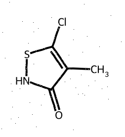 Cc1c(Cl)s[nH]c1=O